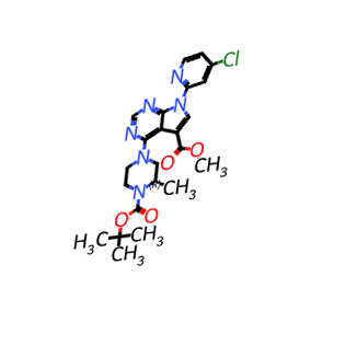 COC(=O)c1cn(-c2cc(Cl)ccn2)c2ncnc(N3CCN(C(=O)OC(C)(C)C)[C@H](C)C3)c12